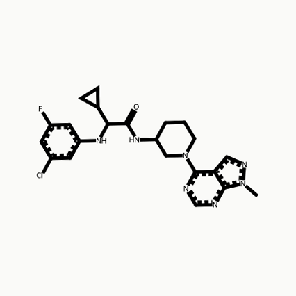 Cn1ncc2c(N3CCCC(NC(=O)C(Nc4cc(F)cc(Cl)c4)C4CC4)C3)ncnc21